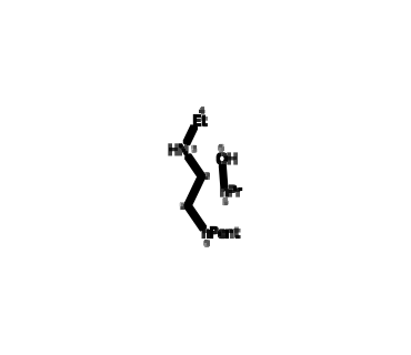 CCCCCCCNCC.CCCO